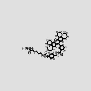 O=C(CCCCCCC(=O)Nc1ccc(CNC(=O)c2cccc(C3=c4cc5c6c(c4Oc4c3cc3c7c4CCCN7CCCC3)CCC[N+]=6CCCC5)c2)cc1)NO